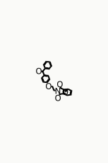 O=C(c1ccccc1)c1ccc(OCCN2C(=O)c3c(c4ccc3o4)C2=O)cc1